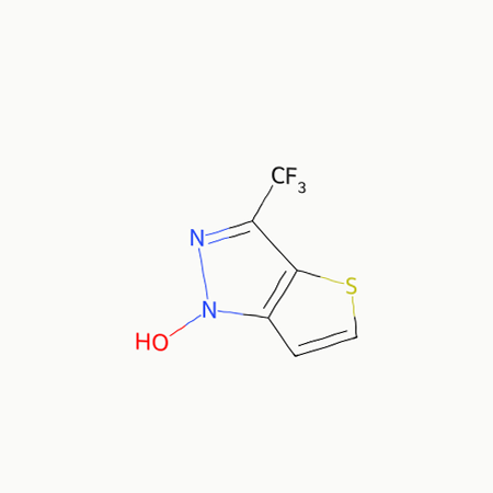 On1nc(C(F)(F)F)c2sccc21